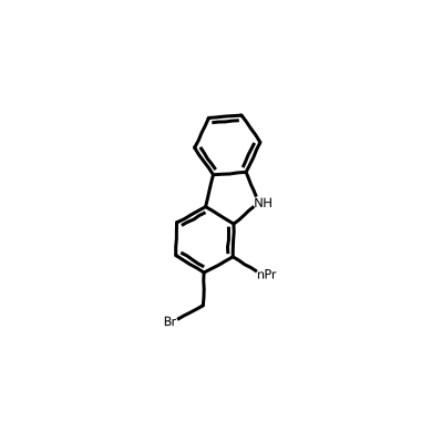 CCCc1c(CBr)ccc2c1[nH]c1ccccc12